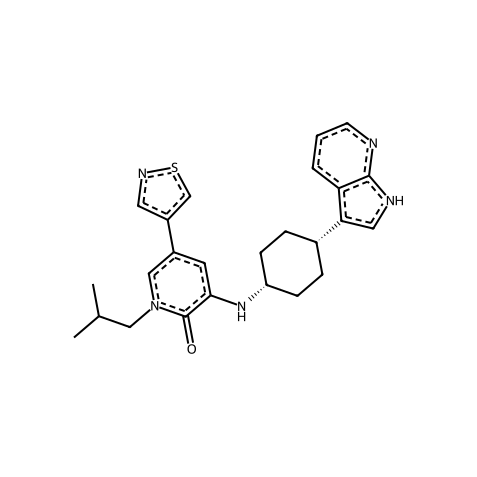 CC(C)Cn1cc(-c2cnsc2)cc(N[C@H]2CC[C@@H](c3c[nH]c4ncccc43)CC2)c1=O